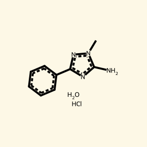 Cl.Cn1nc(-c2ccccc2)nc1N.O